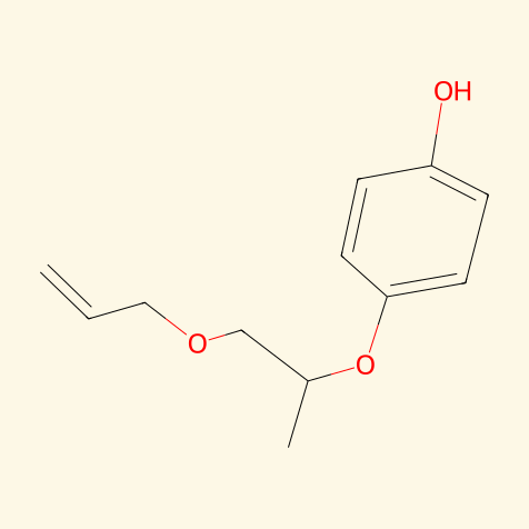 C=CCOCC(C)Oc1ccc(O)cc1